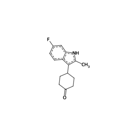 Cc1[nH]c2cc(F)ccc2c1C1CCC(=O)CC1